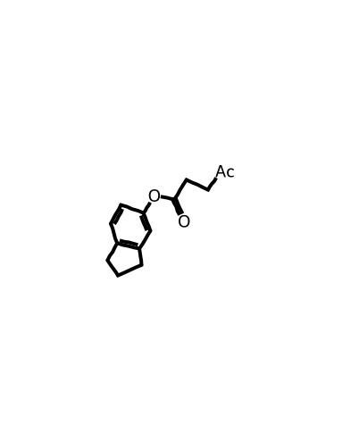 CC(=O)CCC(=O)Oc1ccc2c(c1)CCC2